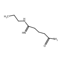 CCCNC(=N)CCCC(N)=O